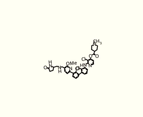 COc1nc(-c2cccc(-c3cccc(Nc4nccc(OC(=O)C5CCN(C)CC5)c4Cl)c3Cl)c2Cl)ccc1CNCC1CCC(=O)N1